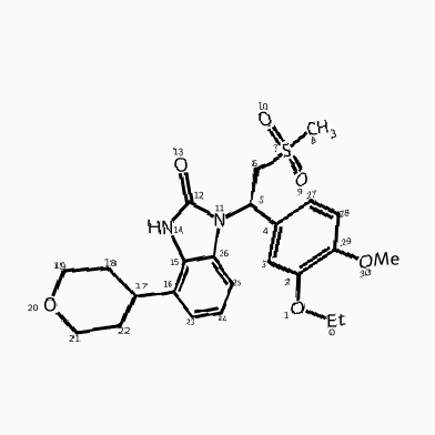 CCOc1cc([C@H](CS(C)(=O)=O)n2c(=O)[nH]c3c(C4CCOCC4)cccc32)ccc1OC